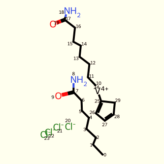 CCCCCCCC(N)=O.CCCCCCCC(N)=O.[Cl-].[Cl-].[Cl-].[Cl-].[V+4][C]1=CC=CC1